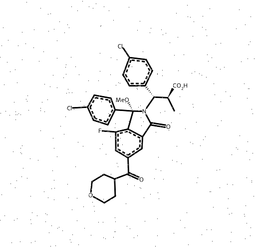 CO[C@@]1(c2ccc(Cl)cc2)c2c(F)cc(C(=O)C3CCOCC3)cc2C(=O)N1[C@H](c1ccc(Cl)cc1)[C@H](C)C(=O)O